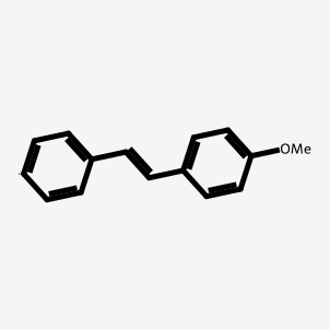 COc1ccc(/C=C/c2cc[c]cc2)cc1